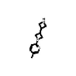 Cc1ccc(N2CC(C3CNC3)C2)nc1